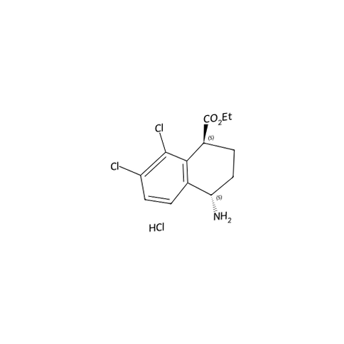 CCOC(=O)[C@H]1CC[C@H](N)c2ccc(Cl)c(Cl)c21.Cl